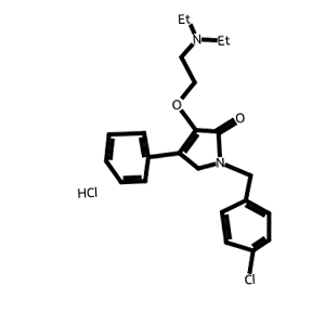 CCN(CC)CCOC1=C(c2ccccc2)CN(Cc2ccc(Cl)cc2)C1=O.Cl